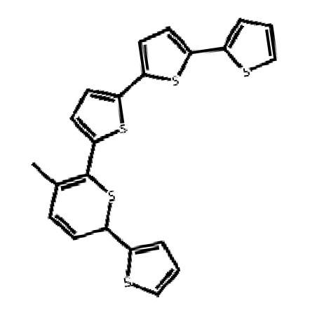 CC1=C(c2ccc(-c3ccc(-c4cccs4)s3)s2)SC(c2cccs2)C=C1